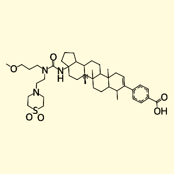 COCCCN(CCN1CCS(=O)(=O)CC1)C(=O)NC12CCCC1C1CCC3C4(C)CC=C(c5ccc(C(=O)O)cc5)C(C)C4CCC3(C)[C@]1(C)CC2